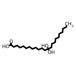 CCCCCCCCCCC(O)(O)CCCCCCCCCCCC(=O)O